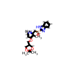 Cc1c(OCC2COC(C)(C)OC2)ccnc1C[S+]([O-])c1nc2ccccc2[nH]1.[Na]